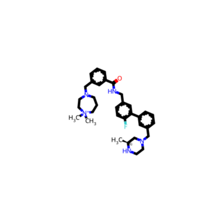 C[C@H]1CN(Cc2cccc(-c3cc(CNC(=O)c4cccc(CN5CCC[N+](C)(C)CC5)c4)ccc3F)c2)CCN1